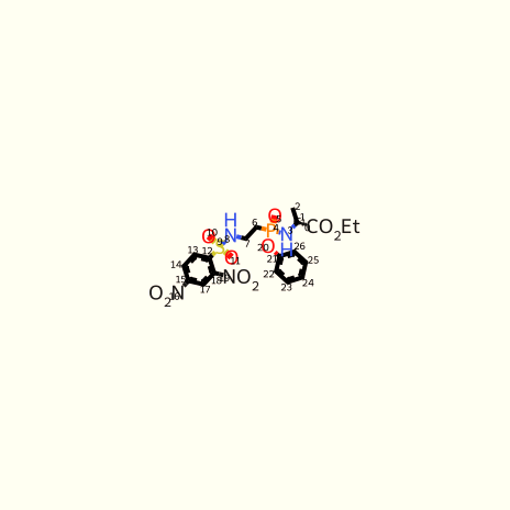 CCOC(=O)[C@H](C)NP(=O)(CCNS(=O)(=O)c1ccc([N+](=O)[O-])cc1[N+](=O)[O-])Oc1ccccc1